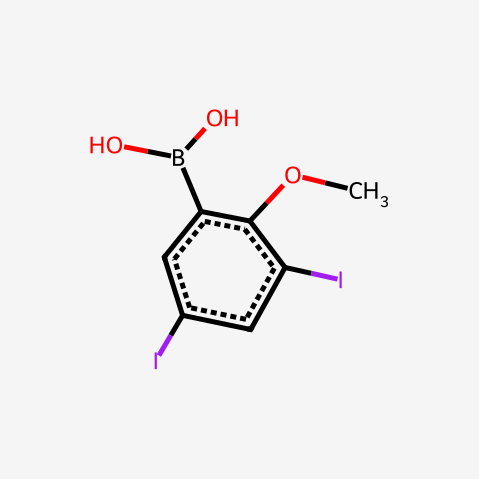 COc1c(I)cc(I)cc1B(O)O